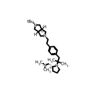 CN(C)C[C@H]1CCCN1C(C)(C)Cc1ccc(CCN2C[C@@H]3CN(C(C)(C)C)C[C@@H]3C2)cc1